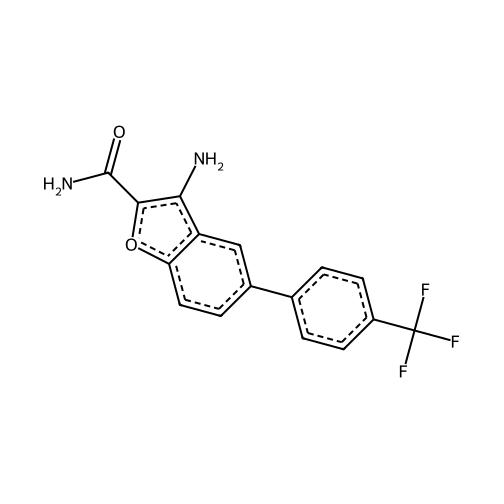 NC(=O)c1oc2ccc(-c3ccc(C(F)(F)F)cc3)cc2c1N